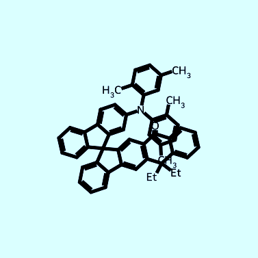 CCC1(CC)c2ccccc2C(=O)c2cc3c(cc21)-c1ccccc1C31c2ccccc2-c2ccc(N(c3cc(C)ccc3C)c3cc(C)ccc3C)cc21